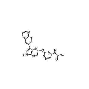 C=CC(=O)Nc1cnnc(Oc2cnc3[nH]cc(-c4ccc5ncccc5c4)c3n2)c1